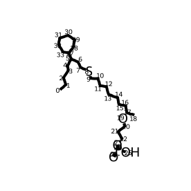 CCCCCC(CCSCCCCCCCCC(C)OCCCO[P](=O)O)C1CCCCCC1